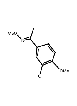 CON=C(C)c1ccc(OC)c(Cl)c1